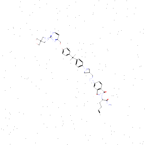 C=CCCC(C(=O)NC)N1C(=O)c2ccc(NCC3CN(c4ccc(C(C)(C)c5ccc(OCc6ccnc(N7CC8(COC8)C7)n6)cc5)cc4)C3)cc2C1=O